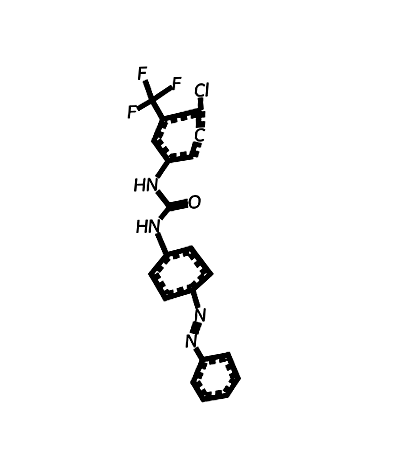 O=C(Nc1ccc(/N=N/c2ccccc2)cc1)Nc1ccc(Cl)c(C(F)(F)F)c1